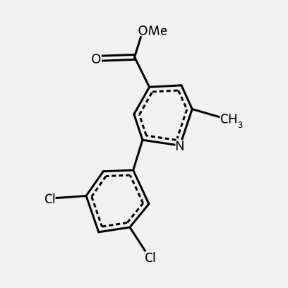 COC(=O)c1cc(C)nc(-c2cc(Cl)cc(Cl)c2)c1